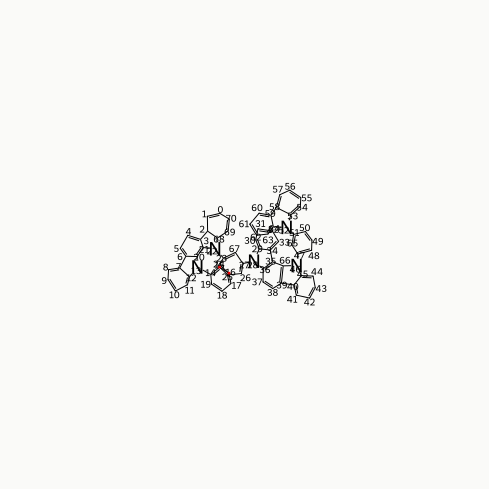 C1=CC2c3ccc4c5ccccc5n(-c5ccccc5)c4c3N(c3cccc(-n4c5ccccc5c5c4ccc4c6ccccc6n(-c6cccc(-n7c8ccccc8c8ccccc87)c6)c45)c3)C2C=C1